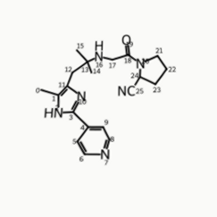 Cc1[nH]c(-c2ccncc2)nc1CC(C)(C)NCC(=O)N1CCCC1C#N